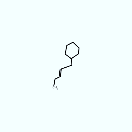 CC/C=C/C[C]1CCCCC1